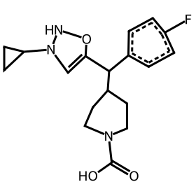 O=C(O)N1CCC(C(C2=CN(C3CC3)NO2)c2ccc(F)cc2)CC1